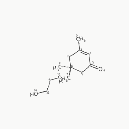 CC1=CC(=O)CC(C)(C)C1.OCCO